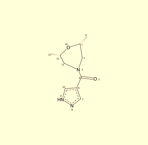 C[C@@H]1CN(C(=O)c2cn[nH]c2)C[C@H](C)O1